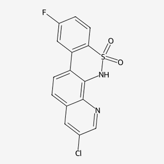 O=S1(=O)Nc2c(ccc3cc(Cl)cnc23)-c2cc(F)ccc21